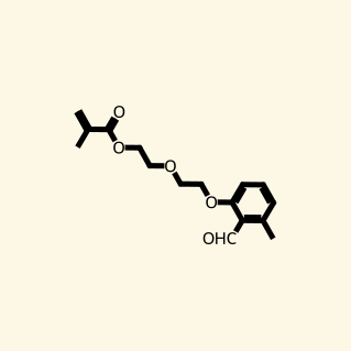 C=C(C)C(=O)OCCOCCOc1cccc(C)c1C=O